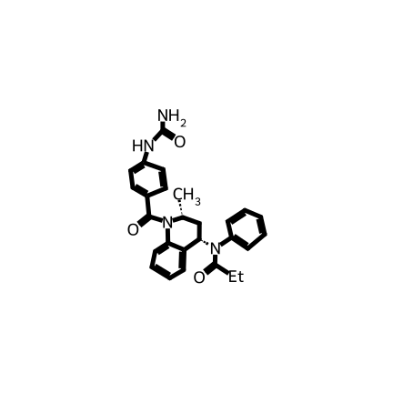 CCC(=O)N(c1ccccc1)[C@H]1C[C@@H](C)N(C(=O)c2ccc(NC(N)=O)cc2)c2ccccc21